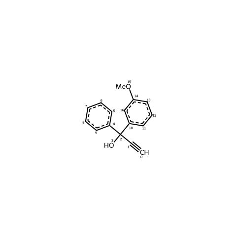 C#CC(O)(c1ccccc1)c1cccc(OC)c1